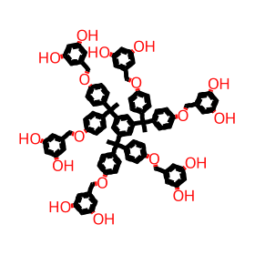 CC(c1ccc(OCc2cc(O)cc(O)c2)cc1)(c1ccc(OCc2cc(O)cc(O)c2)cc1)c1cc(C(C)(c2ccc(OCc3cc(O)cc(O)c3)cc2)c2ccc(OCc3cc(O)cc(O)c3)cc2)cc(C(C)(c2ccc(OCc3cc(O)cc(O)c3)cc2)c2ccc(OCc3cc(O)cc(O)c3)cc2)c1